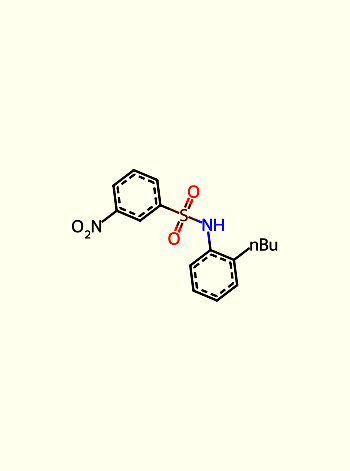 CCCCc1ccccc1NS(=O)(=O)c1cccc([N+](=O)[O-])c1